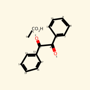 CC(=O)O.O=C(C(=O)c1ccccc1)c1ccccc1